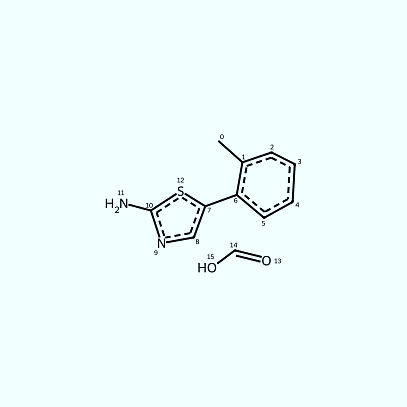 Cc1ccccc1-c1cnc(N)s1.O=CO